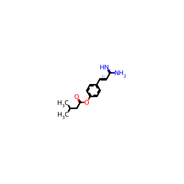 CC(C)CC(=O)Oc1ccc(/C=C/C(=N)N)cc1